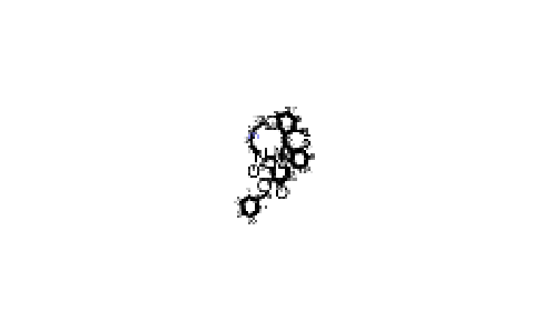 O=C1c2c(OCc3ccccc3)c(=O)ccn2N2CN1C/C=C\COc1cccc3c1[C@H]2c1ccccc1SC3